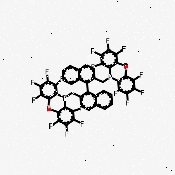 Fc1c(F)c(F)c(P(Cc2ccc3ccccc3c2-c2c(CP(c3c(F)c(F)c(F)c(F)c3F)c3c(F)c(F)c(F)c(F)c3F)ccc3ccccc23)c2c(F)c(F)c(F)c(F)c2F)c(F)c1F